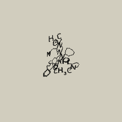 C=CC(=O)N1CCN(C2C3CC[C@@]4(SCc5ccccc5C4OC)C(=O)C3NC(OCC3CCCN3C)N2C2CCCCCCC2)CC1CC#N